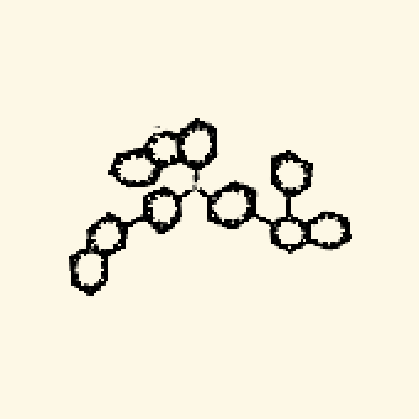 c1ccc(-c2c(-c3ccc(N(c4ccc(-c5ccc6ccccc6c5)cc4)c4cccc5oc6ccccc6c45)cc3)ccc3ccccc23)cc1